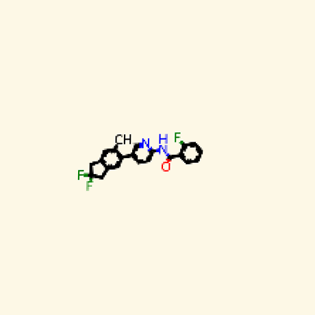 Cc1cc2c(cc1-c1ccc(NC(=O)c3ccccc3F)nc1)CC(F)(F)C2